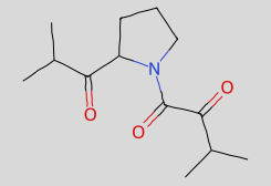 CC(C)C(=O)C(=O)N1CCCC1C(=O)C(C)C